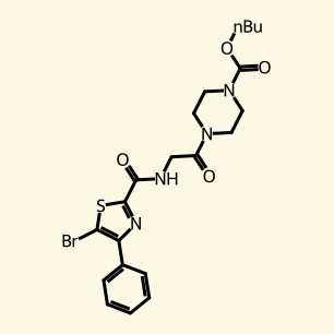 CCCCOC(=O)N1CCN(C(=O)CNC(=O)c2nc(-c3ccccc3)c(Br)s2)CC1